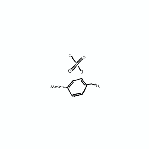 CCc1ccc(OC)cc1.O=S(=O)(Cl)Cl